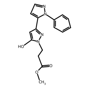 COC(=O)CCn1nc(-c2ccnn2-c2ccccc2)cc1O